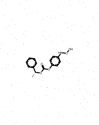 C[C@@H](OC(=O)Oc1ccc(NOO)cc1)c1ccccc1